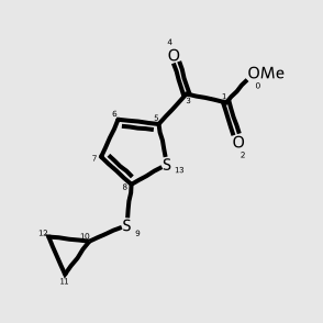 COC(=O)C(=O)c1ccc(SC2CC2)s1